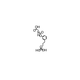 O=C(O)CNC(=O)Oc1cccc(CCCON(O)O)c1